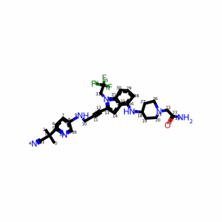 CC(C)(C#N)c1ccc(NCC#Cc2cc3c(NC4CCN(CC(N)=O)CC4)cccc3n2CC(F)(F)F)cn1